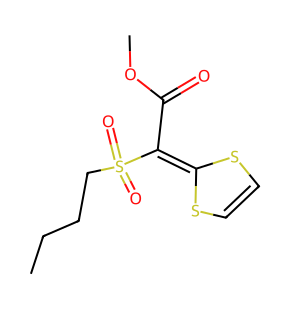 CCCCS(=O)(=O)C(C(=O)OC)=C1SC=CS1